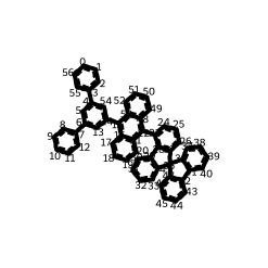 c1ccc(-c2cc(-c3ccccc3)cc(-c3c4ccccc4c(-c4cccc5c4-c4ccccc4C54c5ccccc5-c5ccccc54)c4ccccc34)c2)cc1